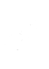 CC(C(=O)O)c1c(C(=O)c2ccc(OC(F)(F)F)cc2)[nH]c2ccc(Cl)cc12